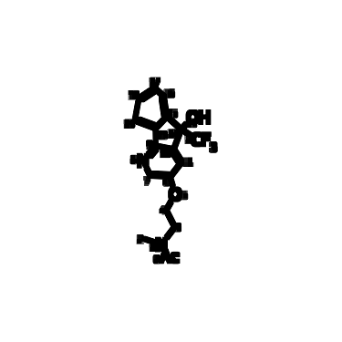 CC(=O)N(C)CCOc1cnc2c(c1)C(O)(C(F)(F)F)c1ccccc1-2